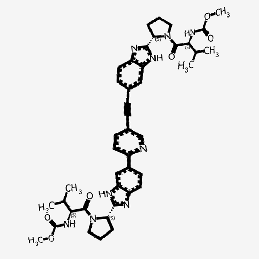 COC(=O)N[C@H](C(=O)N1CCC[C@H]1c1nc2ccc(C#Cc3ccc(-c4ccc5nc([C@@H]6CCCN6C(=O)[C@@H](NC(=O)OC)C(C)C)[nH]c5c4)nc3)cc2[nH]1)C(C)C